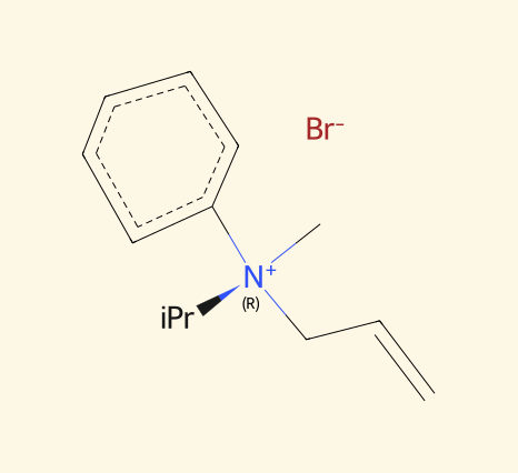 C=CC[N@@+](C)(c1ccccc1)C(C)C.[Br-]